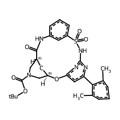 Cc1cccc(C)c1-c1cc2nc(n1)NS(=O)(=O)c1cccc(c1)NC(=O)[C@@H]1C[C@H](CN(C(=O)OC(C)(C)C)C1)O2